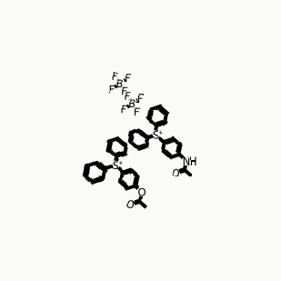 CC(=O)Nc1ccc([S+](c2ccccc2)c2ccccc2)cc1.CC(=O)Oc1ccc([S+](c2ccccc2)c2ccccc2)cc1.F[B-](F)(F)F.F[B-](F)(F)F